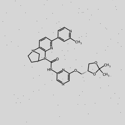 Cc1cc(-c2ccc3c(n2)N(C(=O)Nc2cncc(OC[C@@H]4COC(C)(C)O4)n2)C2CCN3C2)ccn1